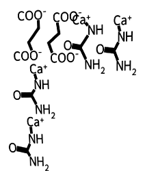 NC(=O)[NH][Ca+].NC(=O)[NH][Ca+].NC(=O)[NH][Ca+].NC(=O)[NH][Ca+].O=C([O-])CCC(=O)[O-].O=C([O-])CCC(=O)[O-]